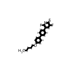 CCCCCOc1ccc(-c2ccc(-c3cc(F)c(F)nc3F)cc2)cc1